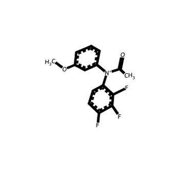 COc1cccc([N+](C(C)=O)c2ccc(F)c(F)c2F)c1